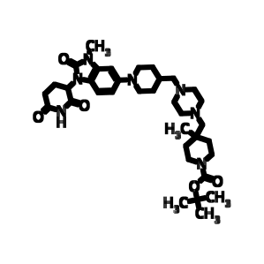 Cn1c(=O)n(C2CCC(=O)NC2=O)c2ccc(N3CCC(CN4CCN(CC5(C)CCN(C(=O)OC(C)(C)C)CC5)CC4)CC3)cc21